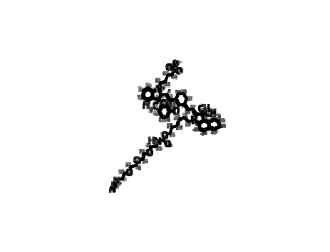 CC1(C)C(/C=C/C2=C(Oc3ccccc3)C(=C/C=C3\N(CCCCCCOC(=O)NCCOCCOCCOCCN=[N+]=[N-])c4ccc5ccccc5c4C3(C)C)/CCC2)=[N+](CCCCS(=O)(=O)[O-])c2ccccc21